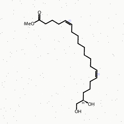 COC(=O)CCC/C=C\CCCCCCC/C=C\CCC[C@@H](O)CO